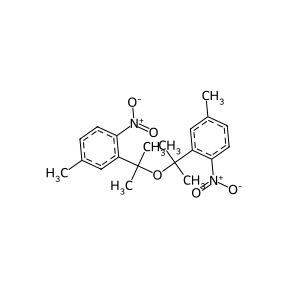 Cc1ccc([N+](=O)[O-])c(C(C)(C)OC(C)(C)c2cc(C)ccc2[N+](=O)[O-])c1